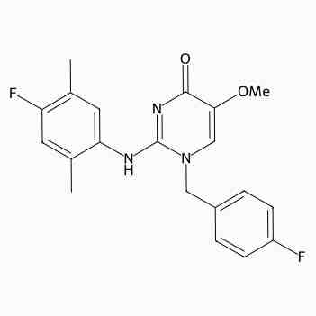 COc1cn(Cc2ccc(F)cc2)c(Nc2cc(C)c(F)cc2C)nc1=O